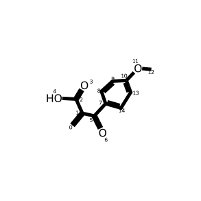 C=C(C(=O)O)C(=O)c1ccc(OC)cc1